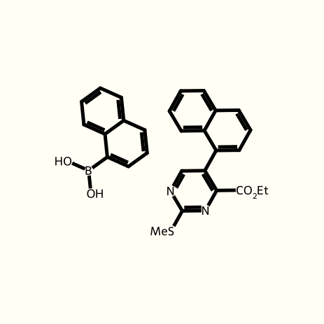 CCOC(=O)c1nc(SC)ncc1-c1cccc2ccccc12.OB(O)c1cccc2ccccc12